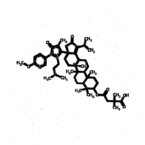 COc1ccc(-n2c(=O)c(C)c(C34CC[C@]5(C)C(CCC6C7(C)CCC(OC(=O)CC(C)(C)C(=O)O)C(C)(C)C7CCC65C)C3=C(C(C)C)C(=O)C4)n2CCN(C)C)cn1